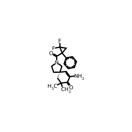 CC1(C)C[C@]2(C=C(N)C1=O)CCN(C(=O)C1(c3ccccc3)CC1(F)F)C2